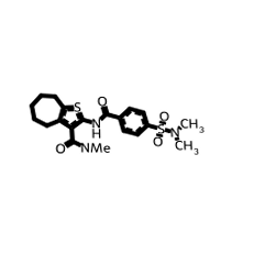 CNC(=O)c1c(NC(=O)c2ccc(S(=O)(=O)N(C)C)cc2)sc2c1CCCCC2